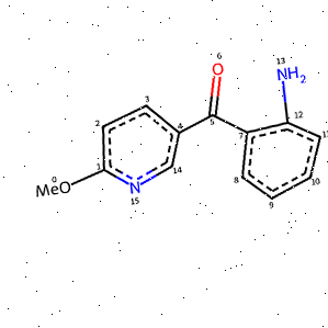 COc1ccc(C(=O)c2ccccc2N)cn1